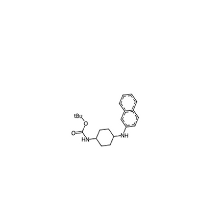 CC(C)(C)OC(=O)NC1CCC(Nc2ccc3ccccc3c2)CC1